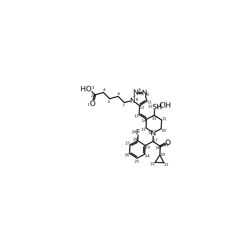 Cl.O=C(O)CCCCn1nncc1C=C1CN(C(C(=O)C2CC2)c2ccccc2F)CCC1S